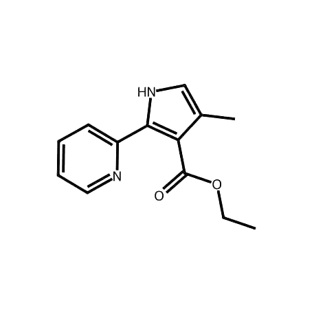 CCOC(=O)c1c(C)c[nH]c1-c1ccccn1